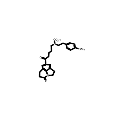 COc1ccc(CCN(CCCCC(=O)c2cc3c4c(c2)CCN4C(=O)CC3)C(=O)O)cc1